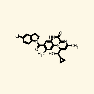 CC1=C=C(C(O)C2CC2)N2C(=N1)C(=O)Nc1cc(C(=O)N3CCc4cc(Cl)ccc43)c(C)cc12